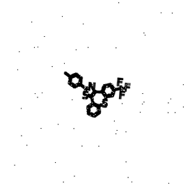 Cc1ccc(-c2nc3c(s2)-c2ccccc2Sc2cc(C(F)(F)F)ccc2-3)cc1